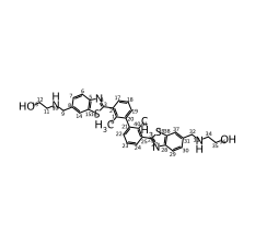 Cc1c(-c2nc3ccc(CNCCO)cc3s2)cccc1-c1cccc(-c2nc3ccc(CNCCO)cc3s2)c1C